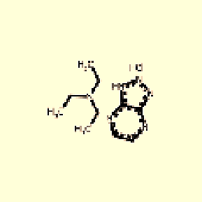 CCN(CC)CC.Cl.c1cnc2[nH]nnc2n1